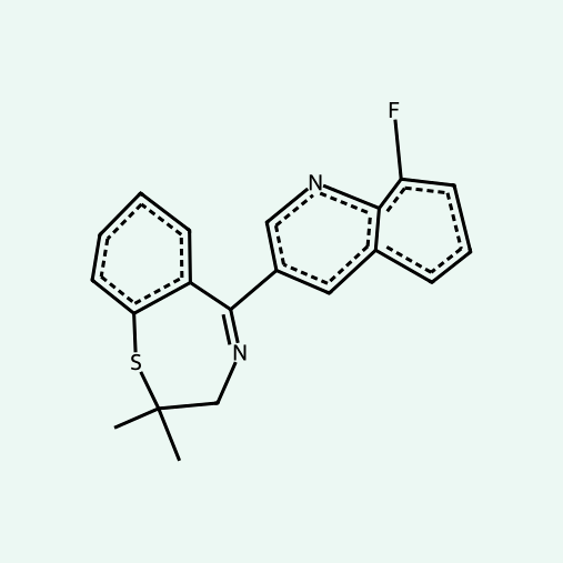 CC1(C)CN=C(c2cnc3c(F)cccc3c2)c2ccccc2S1